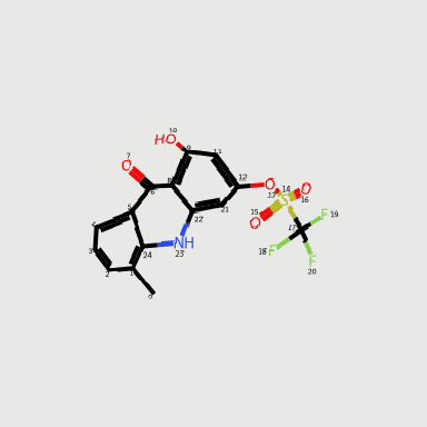 Cc1cccc2c(=O)c3c(O)cc(OS(=O)(=O)C(F)(F)F)cc3[nH]c12